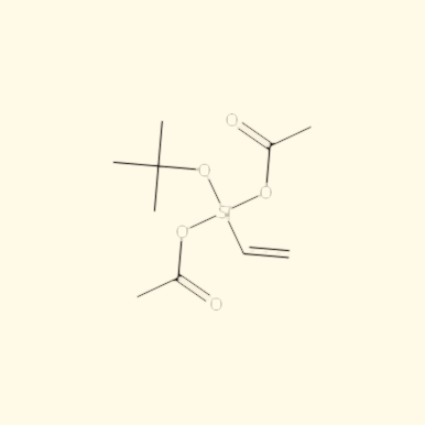 C=C[Si](OC(C)=O)(OC(C)=O)OC(C)(C)C